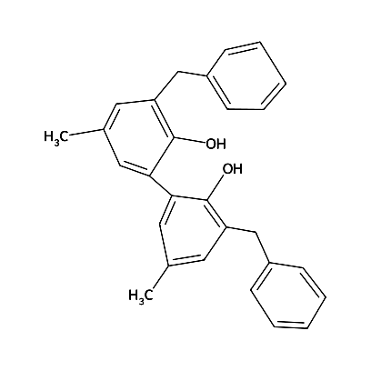 Cc1cc(Cc2ccccc2)c(O)c(-c2cc(C)cc(Cc3ccccc3)c2O)c1